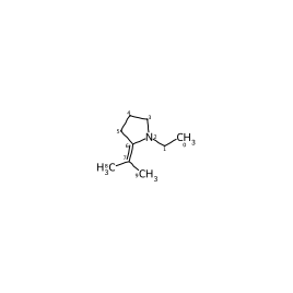 CCN1CCCC1=C(C)C